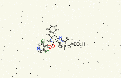 O=C(CN(C(=O)c1cnn(C2CCC(C(=O)O)CC2)c1C(F)(F)F)C1Cc2ccccc2C1)c1c(Cl)cncc1Cl